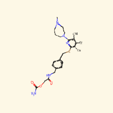 CCc1c(C#N)c(SCc2ccc(CNC(=O)COC(N)=O)cc2)nc(N2CCCN(C)CC2)c1C#N